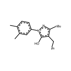 CCCCc1nn(-c2ccc(C)c(C)c2)c(O)c1CC(C)C